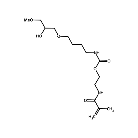 C=C(C)C(=O)NCCOC(=O)NCCCCOCC(O)COC